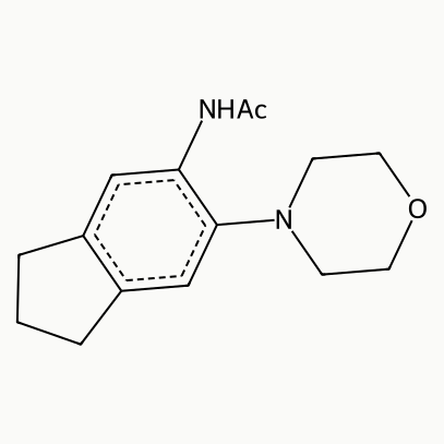 CC(=O)Nc1cc2c(cc1N1CCOCC1)CCC2